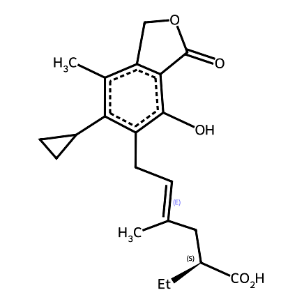 CC[C@@H](C/C(C)=C/Cc1c(O)c2c(c(C)c1C1CC1)COC2=O)C(=O)O